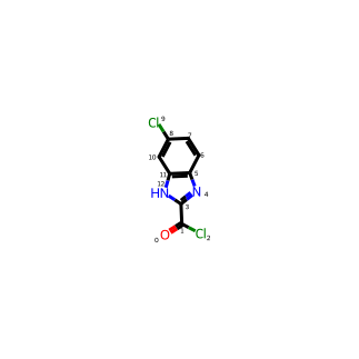 O=C(Cl)c1nc2ccc(Cl)cc2[nH]1